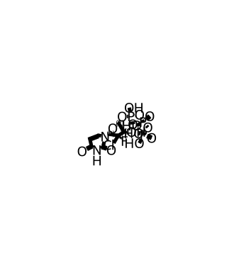 O=c1ccn([C@@H]2O[C@H](OP(=O)(O)OP(=O)(O)OP(=O)(O)O)[C@@H](O)[C@]2(F)Cl)c(=O)[nH]1